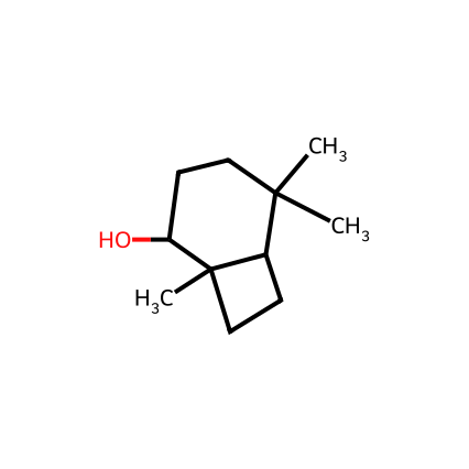 CC1(C)CCC(O)C2(C)CCC12